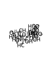 C#CC1(N)[C@@H](O)[C@@H]([C@H](C)OP(=O)(O)OP(=O)(O)OP(=O)(O)O)O[C@H]1n1c(C)cc(=O)[nH]c1=O